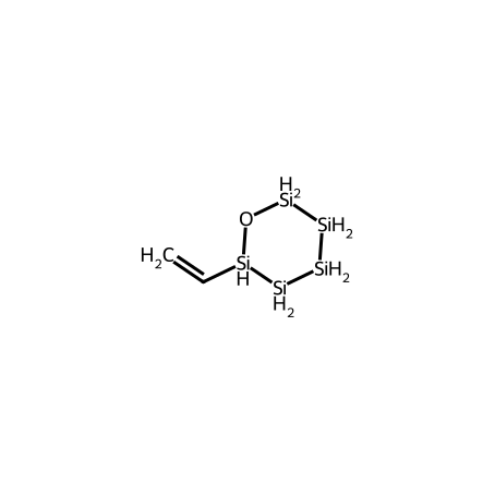 C=C[SiH]1O[SiH2][SiH2][SiH2][SiH2]1